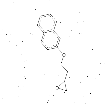 c1ccc2cc(OCCC3CO3)ccc2c1